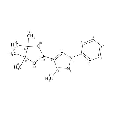 Cc1nn(-c2ccccc2)cc1B1OC(C)(C)C(C)(C)O1